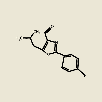 CC(C)Cc1sc(-c2ccc(F)cc2)nc1C=O